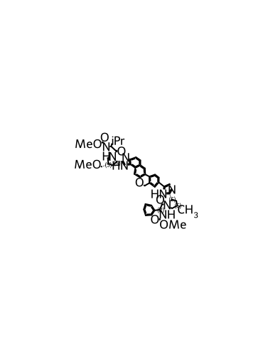 COC[C@H]1C[C@@H](c2nc3ccc4cc5c(cc4c3[nH]2)OCc2cc(-c3cnc([C@@H]4C[C@H](C)CN4C(=O)[C@H](NC(=O)OC)c4ccccc4)[nH]3)ccc2-5)N(C(=O)C(NC(=O)OC)C(C)C)C1